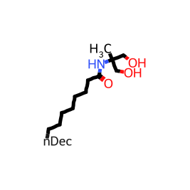 CCCCCCCCCCCCCCCCCC(=O)NC(C)(CO)CO